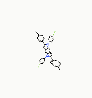 Cc1ccc(-c2cc3cc4c(cc(-c5ccc(C)cc5)n4-c4ccc(F)cc4)cc3n2-c2ccc(F)cc2)cc1